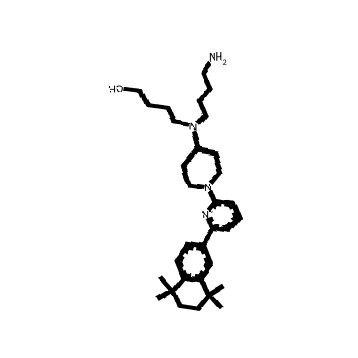 CC1(C)CCC(C)(C)c2cc(-c3cccc(N4CCC(N(CCCCN)CCCCO)CC4)n3)ccc21